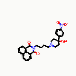 O=C1c2cccc3cccc(c23)C(=O)N1CCCCN1CCC(O)(c2ccc([N+](=O)[O-])cc2)CC1